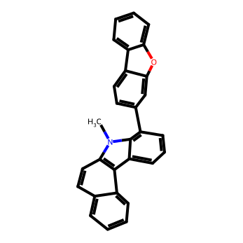 Cn1c2ccc3ccccc3c2c2cccc(-c3ccc4c(c3)oc3ccccc34)c21